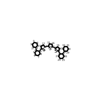 c1ccc(-c2ccccc2-c2ccc(-c3ccc(-c4ccc(-c5ccccc5-c5ccccc5)s4)s3)s2)cc1